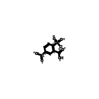 O=C(O)c1cc([N+](=O)[O-])ccc1S(=O)(=O)Cl